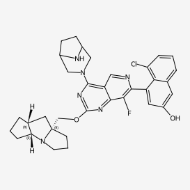 Oc1cc(-c2ncc3c(N4CC5CCC(C4)N5)nc(OC[C@]45CCCN4[C@@H]4CCC[C@@H]4C5)nc3c2F)c2c(Cl)cccc2c1